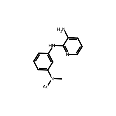 CC(=O)N(C)c1cccc(Nc2ncccc2N)c1